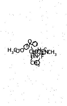 CCCC[C@H](OCC[C@]1(C(=O)N2CCC(OCOC)CC2)C=CC=CC1)C(=O)N[C@@H](CC1CCCCC1)[C@@H](O)C(F)(F)CN(C)C